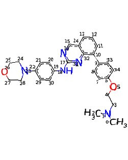 CN(C)CCOc1ccc(-c2cccc3cnc(Nc4ccc(N5CCOCC5)cc4)nc23)cc1